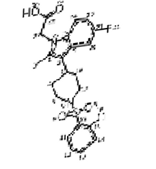 Cc1c(C2CCN(S(=O)(=O)c3ccccc3Cl)CC2)c2cc(F)ccc2n1CC(=O)O